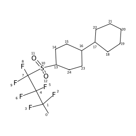 CC(F)(F)C(F)(F)C(F)(F)S(=O)(=O)C1CCC(C2CCCCC2)CC1